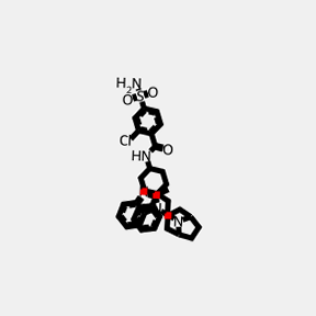 Cc1nc2ccccc2n1C1CC2CCC(C1)N2CCC1(c2ccccc2)CCC(NC(=O)c2ccc(S(N)(=O)=O)cc2Cl)CC1